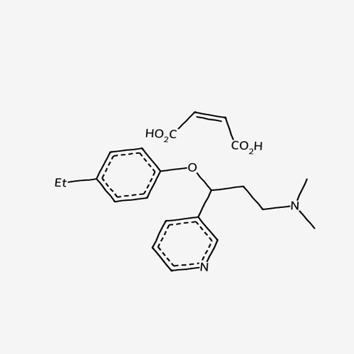 CCc1ccc(OC(CCN(C)C)c2cccnc2)cc1.O=C(O)/C=C\C(=O)O